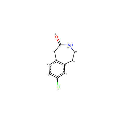 O=C1Cc2ccc(Cl)cc2CCN1